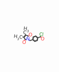 CC1=C(C)C(=O)N(Cc2ccc(C(=O)Cl)cc2)C1=O